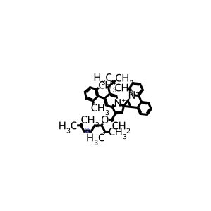 C=C(C)/C=C\CC(OC(=C)C1=CC2(C3c4ccccc4-c4cccc[n+]4C32)[n+]2cc(CC(C)(C)C)c(-c3c(C)cccc3C)cc21)C(C)C